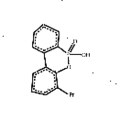 CC(C)c1cccc2c1OP(=O)(O)c1ccccc1-2